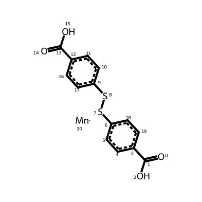 O=C(O)c1ccc(SSc2ccc(C(=O)O)cc2)cc1.[Mn]